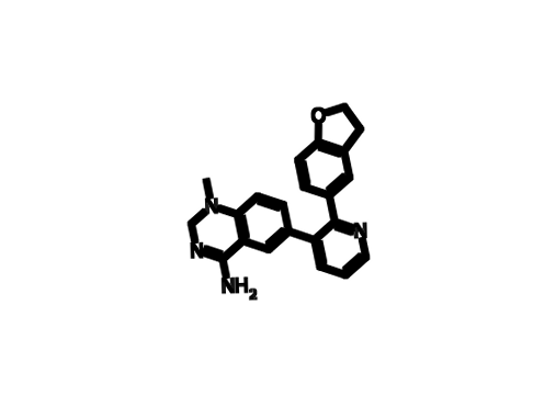 CN1CN=C(N)c2cc(-c3cccnc3-c3ccc4c(c3)CCO4)ccc21